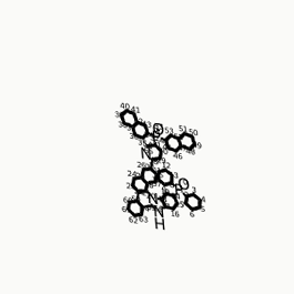 O=P(c1ccccc1)(c1ccccc1)c1ccc2c(c1)N1c3c(ccc4cc(-c5ccc(P(=O)(c6ccc7ccccc7c6)c6ccc7ccccc7c6)cn5)ccc34)-c3ccccc3C1N2